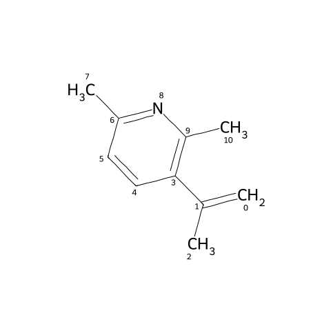 C=C(C)c1ccc(C)nc1C